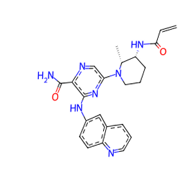 C=CC(=O)N[C@@H]1CCCN(c2cnc(C(N)=O)c(Nc3ccc4ncccc4c3)n2)[C@@H]1C